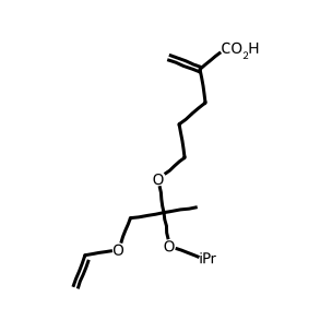 C=COCC(C)(OCCCC(=C)C(=O)O)OC(C)C